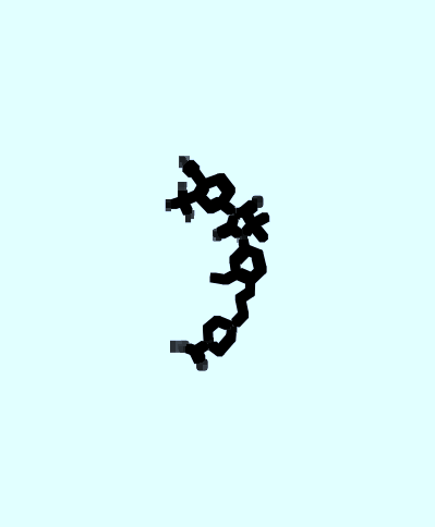 CCc1cc(N2C(=S)N(c3ccc(C#N)c(C(F)(F)F)c3)C(=O)C2(C)C)ccc1CCCN1CCN(C(=O)O)CC1